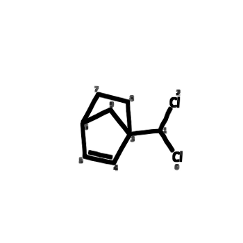 ClC(Cl)C12C=CC(CC1)C2